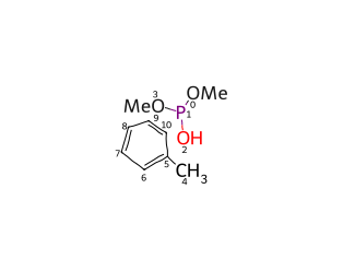 COP(O)OC.Cc1ccccc1